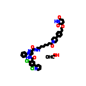 O=C1CCC(OCCc2ccc(C3CCN(C(=O)CCCCCCCNC(=O)c4cc(NC(=O)c5cc(-c6ccccn6)c(Cl)cc5Cl)n(-c5ccccc5)n4)CC3)cc2)C(=O)N1.O=CO